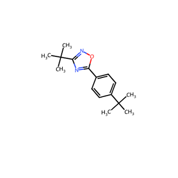 CC(C)(C)c1ccc(-c2nc(C(C)(C)C)no2)cc1